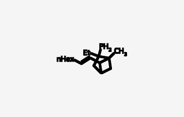 CCCCCCC=CC1C2CC(P)(CC)C1(C)C2